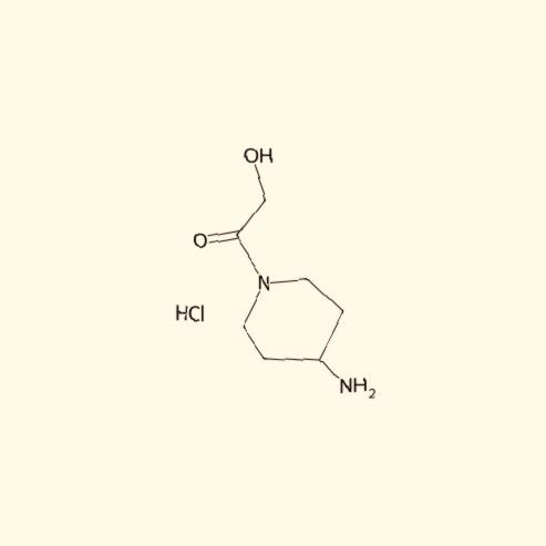 Cl.NC1CCN(C(=O)CO)CC1